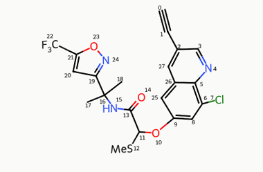 C#Cc1cnc2c(Cl)cc(OC(SC)C(=O)NC(C)(C)c3cc(C(F)(F)F)on3)cc2c1